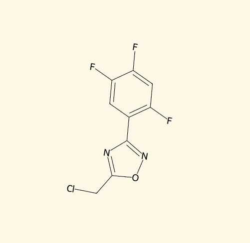 Fc1cc(F)c(-c2noc(CCl)n2)cc1F